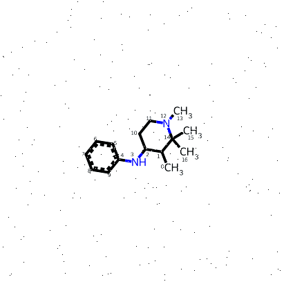 CC1C(Nc2ccccc2)CCN(C)C1(C)C